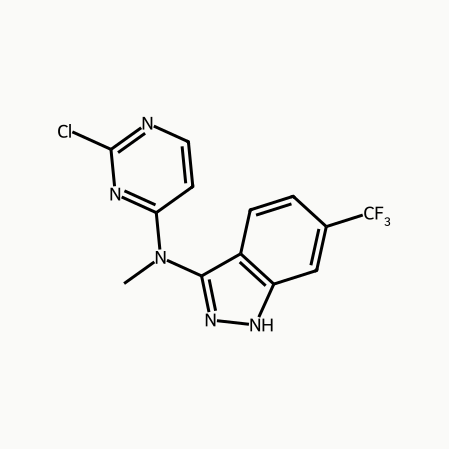 CN(c1ccnc(Cl)n1)c1n[nH]c2cc(C(F)(F)F)ccc12